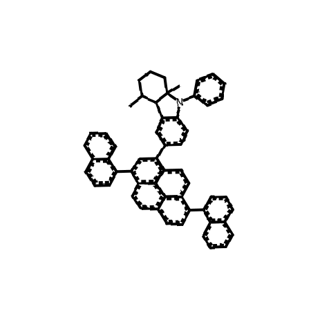 CC1CCCC2(C)C1c1cc(-c3cc(-c4cccc5ccccc45)c4ccc5ccc(-c6cccc7ccccc67)c6ccc3c4c56)ccc1N2c1ccccc1